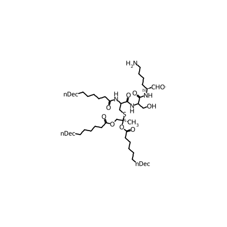 CCCCCCCCCCCCCCCC(=O)NC(CS[C@](C)(COC(=O)CCCCCCCCCCCCCCC)OC(=O)CCCCCCCCCCCCCCC)C(=O)NC(CO)C(=O)N[C@H]([C]=O)CCCCN